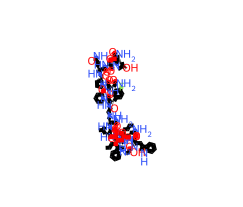 CCCC[C@@H](C(=O)N(C)[C@@H](CCCC)C(=O)N[C@@H](CC(C)C)C(=O)N[C@@H](CNCC(=O)N[C@@H](Cc1ccc(F)cc1)C(=O)N1CCCC[C@H]1C(=O)N[C@@H](CC(N)=O)C(=O)N1CCC[C@H]1C(=O)N[C@@H](CCC(N)=O)C(=O)N[C@@H](CCC(N)=O)C(=O)N1C[C@H](O)C[C@]12CC2=O)C(N)=O)N(C)C(=O)[C@H](Cc1cn(CC(=O)O)c2ccccc12)NC(=O)[C@H](CC(N)=O)NC(=O)[C@@H](N)Cc1c[nH]c2ccccc12